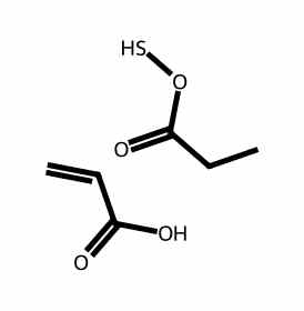 C=CC(=O)O.CCC(=O)OS